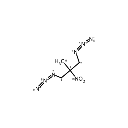 CC(CN=[N+]=[N-])(CN=[N+]=[N-])[N+](=O)[O-]